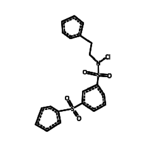 O=S(=O)(c1ccccc1)c1cccc(S(=O)(=O)N(Cl)CCc2ccccc2)c1